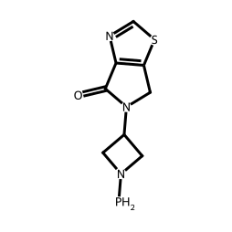 O=C1c2ncsc2CN1C1CN(P)C1